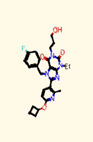 CCn1c(=O)n(CCCO)c(=O)c2c1nc(-c1ccc(OC3CCC3)nc1C)n2Cc1ccc(F)cc1